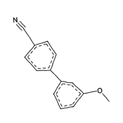 COc1cccc(-c2ccc(C#N)cc2)c1